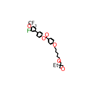 CCC1(COCCCCCCOc2ccc(C(=O)Oc3ccc(-c4ccc(OC(F)(F)F)c(F)c4)cc3)cc2)COC1